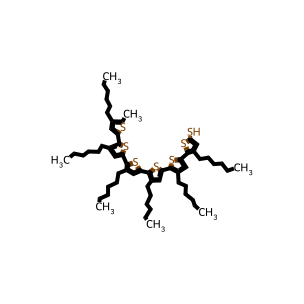 CCCCCCc1cc(-c2sc(-c3sc(-c4sc(-c5sc(-c6sc(S)cc6CCCCCC)cc5CCCCCC)cc4CCCCCC)cc3CCCCCC)cc2CCCCCC)sc1C